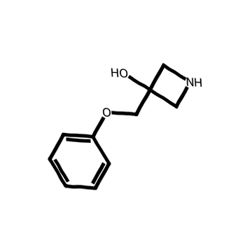 OC1(COc2ccccc2)CNC1